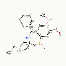 CCCC[C@]1(CC)C[S+]([O-])c2cc(CBr)c(OC)cc2[C@@H](c2ccccc2)N1